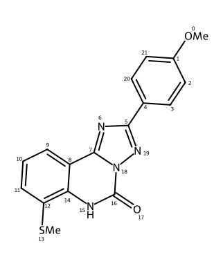 COc1ccc(-c2nc3c4cccc(SC)c4[nH]c(=O)n3n2)cc1